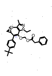 CCn1nc(C)c(Cl)c1/C(OCOC(=O)Cc1ccccc1)=C(/c1ccc(C(C)(C)C)cc1)C1C=N1